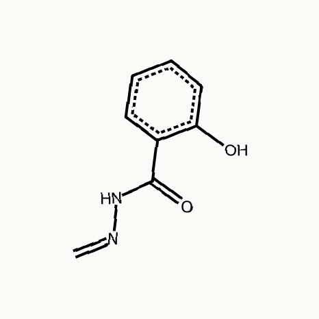 C=NNC(=O)c1ccccc1O